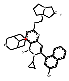 [O-][S+]1c2c(nc(OC[C@@]34CCCN3C[C@H](F)C4)nc2N2C3CNCC2COC3)C=C(c2cc(O)cc3ccccc23)N1C1CC1